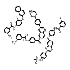 CS(=O)(=O)Nc1ccc(-c2cnc3ccc(Oc4ccc(NC(=O)c5cccc(F)c5)cc4)cc3n2)cc1.O=C(Nc1ccc(C(=O)c2ccc3ncc(-c4ccc(N5CCNCC5)cc4)nc3c2)cc1)c1cccc(C(F)(F)F)c1.O=C(Nc1ccc(Oc2ccc3nccnc3c2)c(F)c1)c1cccc(C(F)(F)F)c1